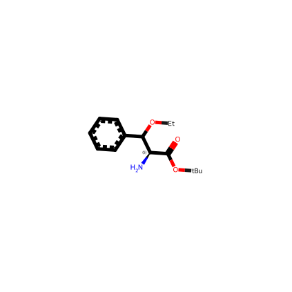 CCOC(c1ccccc1)[C@H](N)C(=O)OC(C)(C)C